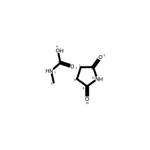 CNC(=O)O.O=C1CCC(=O)N1